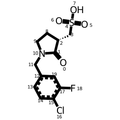 O=C1[C@@H](CS(=O)(=O)O)CCN1Cc1ccc(Cl)c(F)c1